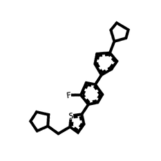 Fc1cc(-c2ccc(C3CCCC3)cc2)ccc1-c1ccc(CC2CCCC2)s1